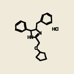 Cl.c1ccc(CC2N=C(COC3CCCC3)NC2c2ccccc2)cc1